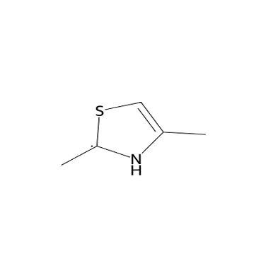 C[C]1NC(C)=CS1